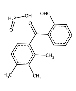 Cc1ccc(C(=O)c2ccccc2C=O)c(C)c1C.O=[PH2]O